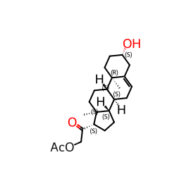 CC(=O)OCC(=O)[C@H]1CC[C@H]2[C@@H]3CC=C4C[C@@H](O)CC[C@]4(C)[C@H]3CC[C@]12C